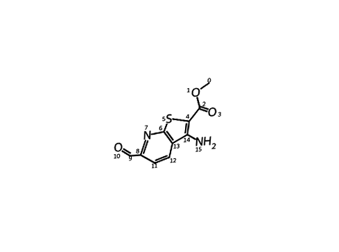 COC(=O)c1sc2nc(C=O)ccc2c1N